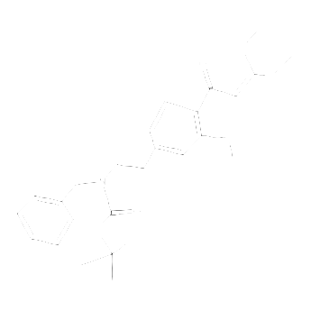 COc1cc(CCN(Cc2ccccc2)C(=O)OC(C)(C)C)ccc1C(=O)C=C(SC)SC